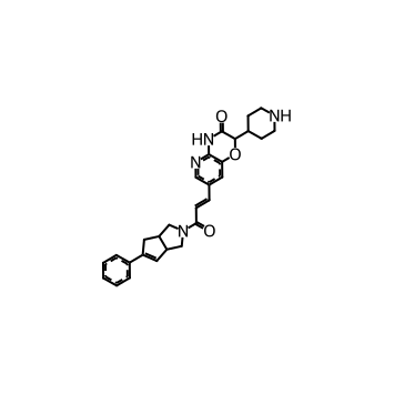 O=C1Nc2ncc(/C=C/C(=O)N3CC4C=C(c5ccccc5)CC4C3)cc2OC1C1CCNCC1